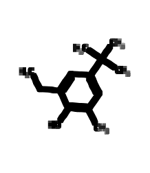 CCc1cc(C(C)(C)C)cc(C)c1O